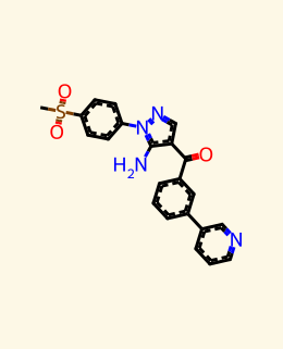 CS(=O)(=O)c1ccc(-n2ncc(C(=O)c3cccc(-c4cccnc4)c3)c2N)cc1